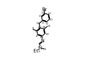 CCN(C)C=Nc1cc(C)c(Cc2cccc(Br)c2)c(C)c1